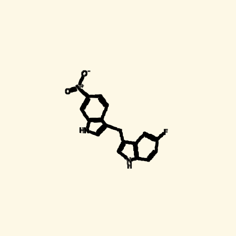 O=[N+]([O-])c1ccc2c(Cc3c[nH]c4ccc(F)cc34)c[nH]c2c1